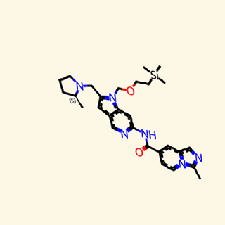 Cc1ncc2cc(C(=O)Nc3cc4c(cn3)cc(CN3CCC[C@@H]3C)n4COCC[Si](C)(C)C)ccn12